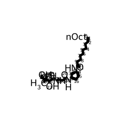 CCCCCCCC/C=C\CCCCCCCC(=O)Nc1cccc(NC(=O)CCNC(=O)C(O)C(C)(C)CO)c1